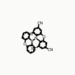 N#Cc1cc(C#N)c2c(c1)Oc1cc(C#N)cc(C#N)c1N2B1c2ccccc2Oc2ccccc21